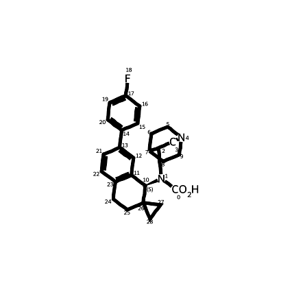 O=C(O)N(C1CN2CCC1CC2)[C@@H]1c2cc(-c3ccc(F)cc3)ccc2CCC12CC2